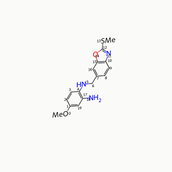 COc1ccc(NCc2ccc3nc(SC)oc3c2)c(N)c1